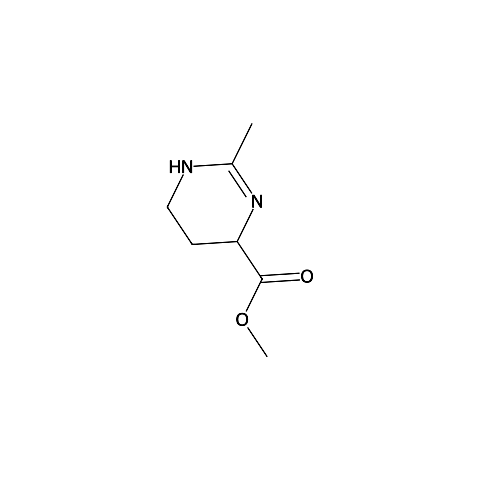 COC(=O)C1CCNC(C)=N1